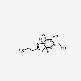 OC[C@H]1O[C@@H]2SC(CCC(F)(F)F)=N[C@@H]2[C@@H](O)[C@@H]1O